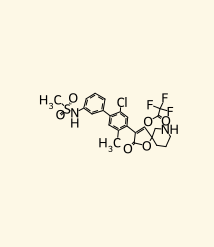 Cc1cc(-c2cccc(NS(C)(=O)=O)c2)c(Cl)cc1C1=C(OC(=O)C(F)(F)F)C2(CCCNC2)OC1=O